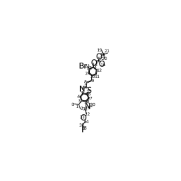 CC(C)c1cc2nc(C=Cc3ccc(OC(=O)OC(C)(C)C)c(Br)c3)sc2cc1N(C)CCOCCF